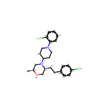 C[C@H]1CN(C2CCN(c3ccccc3F)CC2)[C@@H](CCc2ccc(Cl)cc2)CO1